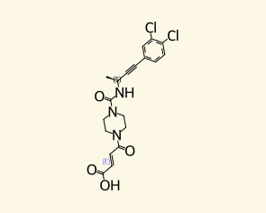 C[C@@H](C#Cc1ccc(Cl)c(Cl)c1)NC(=O)N1CCN(C(=O)/C=C/C(=O)O)CC1